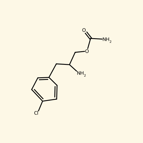 NC(=O)OCC(N)Cc1ccc(Cl)cc1